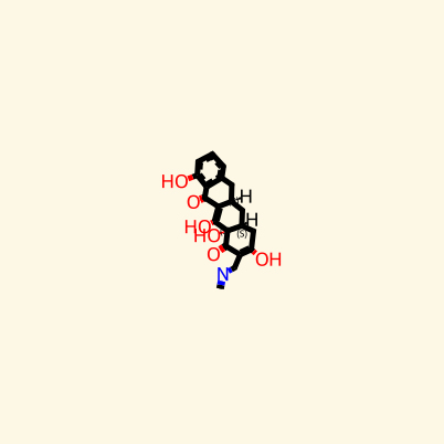 C=NCC1=C(O)C[C@@H]2C[C@@H]3Cc4cccc(O)c4C(=O)C3=C(O)[C@]2(O)C1=O